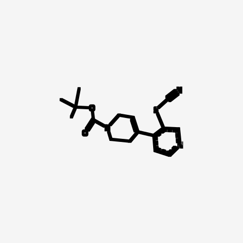 CC(C)(C)OC(=O)N1CC=C(c2ccncc2SC#N)CC1